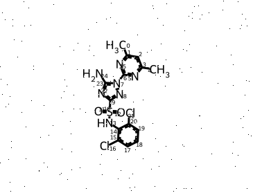 Cc1cc(C)nc(-n2nc(S(=O)(=O)Nc3c(Cl)cccc3Cl)nc2N)n1